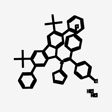 CC(C)(C)c1cc2c(cc1-c1ccccc1)[CH]([Zr]([C]1=CC=CC1)=[C](c1ccc(Cl)cc1)c1ccc(Cl)cc1)c1cc(-c3ccccc3)c(C(C)(C)C)cc1-2.Cl.Cl